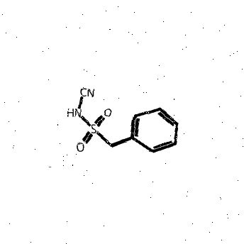 N#CNS(=O)(=O)Cc1ccccc1